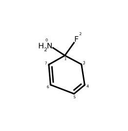 NC1(F)[CH]C=CC=C1